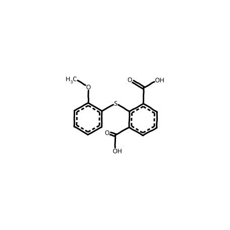 COc1ccccc1Sc1c(C(=O)O)cccc1C(=O)O